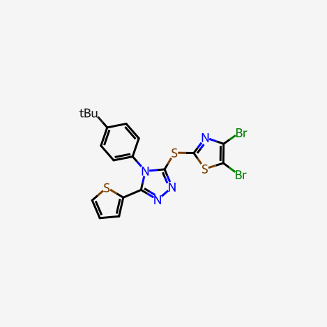 CC(C)(C)c1ccc(-n2c(Sc3nc(Br)c(Br)s3)nnc2-c2cccs2)cc1